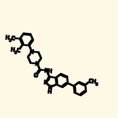 Cc1cccc(-c2ccc3c(NC(=O)N4CCN(c5cccc(C)c5C)CC4)n[nH]c3c2)c1